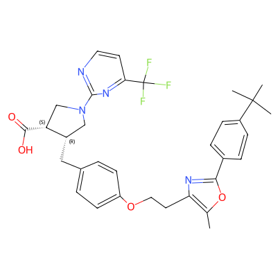 Cc1oc(-c2ccc(C(C)(C)C)cc2)nc1CCOc1ccc(C[C@H]2CN(c3nccc(C(F)(F)F)n3)C[C@H]2C(=O)O)cc1